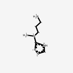 NCCCN(N)c1nnc[nH]1